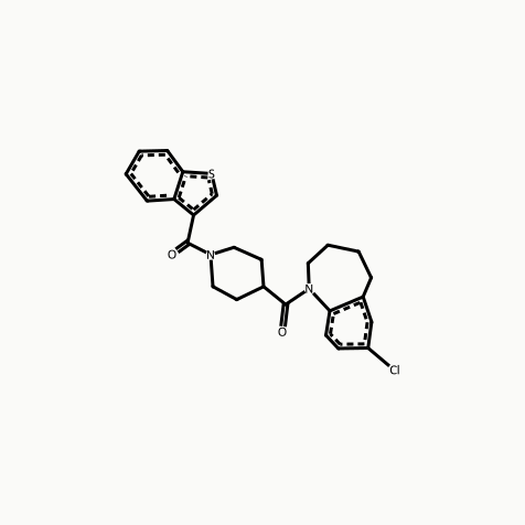 O=C(c1csc2ccccc12)N1CCC(C(=O)N2CCCCc3cc(Cl)ccc32)CC1